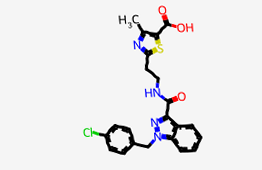 Cc1nc(CCNC(=O)c2nn(Cc3ccc(Cl)cc3)c3ccccc23)sc1C(=O)O